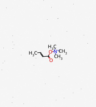 CC=CC(=O)O[N+](C)(C)C